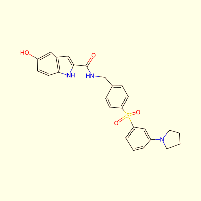 O=C(NCc1ccc(S(=O)(=O)c2cccc(N3CCCC3)c2)cc1)c1cc2cc(O)ccc2[nH]1